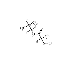 C=C(OC(C)(C)C(C)(C(F)(F)F)C(F)(F)F)C(C)(CC(C)(C)C)C(C)(C)C